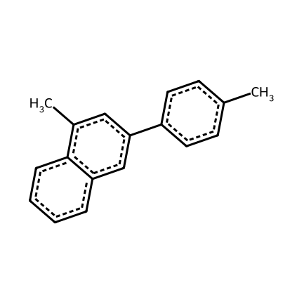 Cc1ccc(-c2cc(C)c3ccccc3c2)cc1